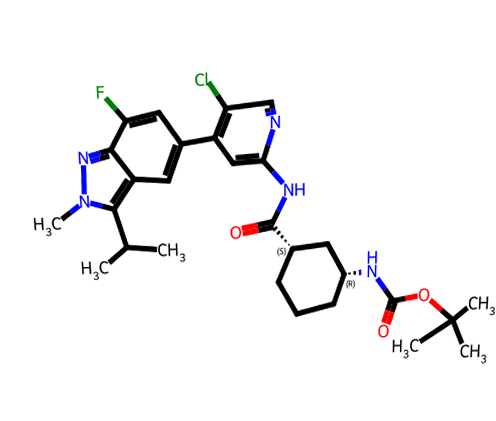 CC(C)c1c2cc(-c3cc(NC(=O)[C@H]4CCC[C@@H](NC(=O)OC(C)(C)C)C4)ncc3Cl)cc(F)c2nn1C